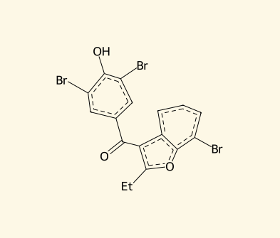 CCc1oc2c(Br)cccc2c1C(=O)c1cc(Br)c(O)c(Br)c1